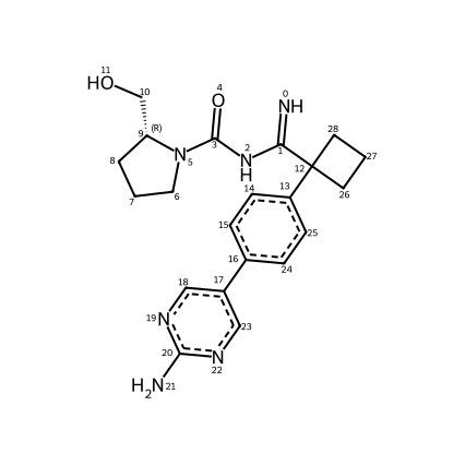 N=C(NC(=O)N1CCC[C@@H]1CO)C1(c2ccc(-c3cnc(N)nc3)cc2)CCC1